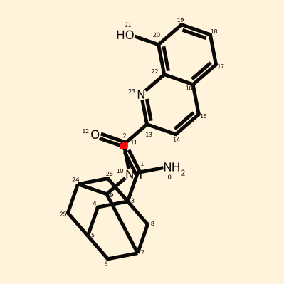 NC(=O)C12CC3CC(C1)C(NC(=O)c1ccc4cccc(O)c4n1)C(C3)C2